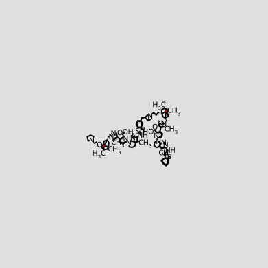 Cc1c(Nc2nc3ccccc3s2)nnc2c1CCCN2c1ccc(-c2cnn(C[C@]34C[C@@]5(C)C[C@](C)(C[C@](CCCN6CCC(Cc7ccc8sc(Nc9nnc%10c(c9C)CCCN%10c9ccc(-c%10cnn(C[C@]%11%12C[C@]%13(C)C[C@](C)(C%11)C[C@@](OCCN%11CCCC%11)(C%13)C%12)c%10C)c(C(=O)O)n9)nc8c7)C6)(C5)C3)C4)c2C)c(C(=O)O)n1